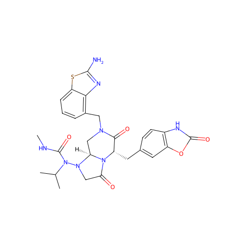 CNC(=O)N(C(C)C)N1CC(=O)N2[C@@H](Cc3ccc4[nH]c(=O)oc4c3)C(=O)N(Cc3cccc4sc(N)nc34)C[C@@H]21